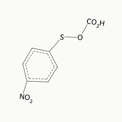 O=C(O)OSc1ccc([N+](=O)[O-])cc1